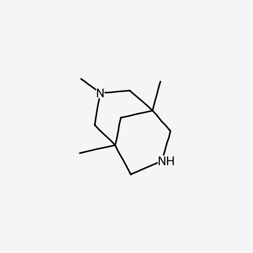 CN1CC2(C)CNCC(C)(C1)C2